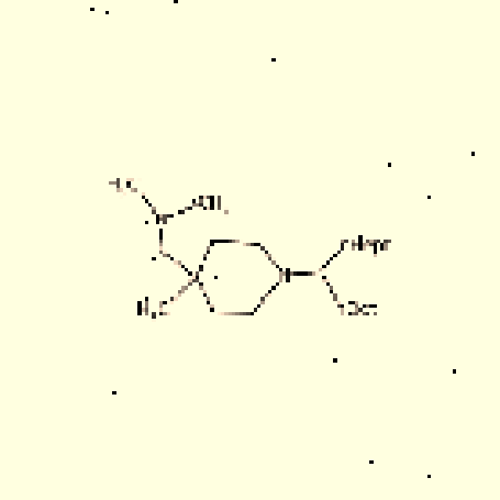 CCCCCCCCC(CCCCCCC)N1CCC(C)(CN(C)C)CC1